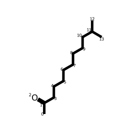 CC(=O)CCCCCCCCC(C)C